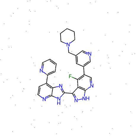 Fc1c(-c2cncc(CN3CCCCC3)c2)cnc2[nH]nc(-c3nc4c(-c5ccccn5)ccnc4[nH]3)c12